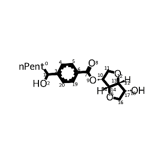 CCCCCC(O)c1ccc(C(=O)O[C@@H]2CO[C@H]3[C@@H]2OC[C@H]3O)cc1